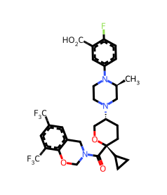 C[C@H]1CN([C@@H]2CC[C@@](C(=O)N3COc4c(cc(C(F)(F)F)cc4C(F)(F)F)C3)(C3CC3)OC2)CCN1c1ccc(F)c(C(=O)O)c1